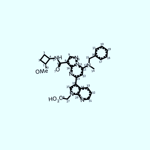 CO[C@H]1CCC1NC(=O)c1cnn2c(N(C)Cc3ccccc3)cc(-c3cn(CC(=O)O)c4ncccc34)nc12